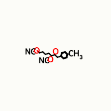 Cc1ccc(CC(=O)C(CCCCOC#N)OC#N)cc1